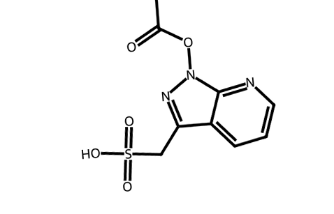 CC(=O)On1nc(CS(=O)(=O)O)c2cccnc21